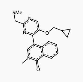 CSCc1ncc(OCC2CC2)c(-c2cn(C)c(=O)c3ccccc23)n1